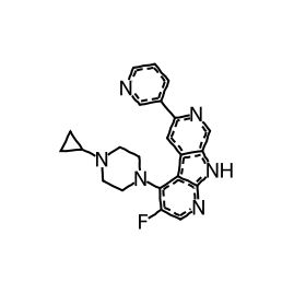 Fc1cnc2[nH]c3cnc(-c4cccnc4)cc3c2c1N1CCN(C2CC2)CC1